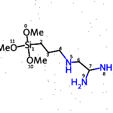 CO[Si](CCCNCC(N)N)(OC)OC